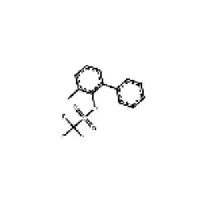 Cc1cccc(-c2ccccc2)c1OS(=O)(=O)C(F)(F)F